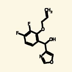 C=CCOc1c(C(O)c2cocn2)ccc(F)c1F